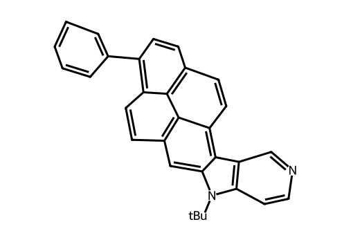 CC(C)(C)n1c2ccncc2c2c3ccc4ccc(-c5ccccc5)c5ccc(cc21)c3c45